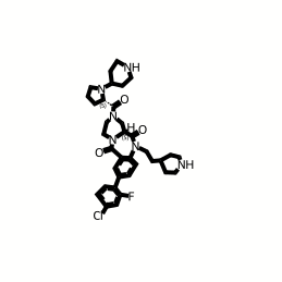 O=C([C@@H]1CCCN1C1CCNCC1)N1CCN2C(=O)c3cc(-c4ccc(Cl)cc4F)ccc3N(CCC3CCNCC3)C(=O)[C@@H]2C1